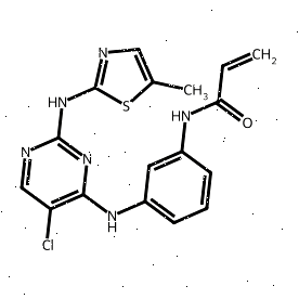 C=CC(=O)Nc1cccc(Nc2nc(Nc3ncc(C)s3)ncc2Cl)c1